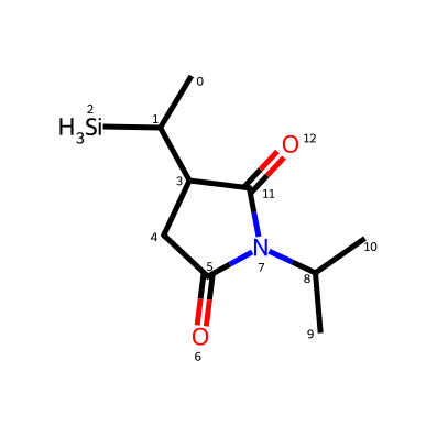 CC([SiH3])C1CC(=O)N(C(C)C)C1=O